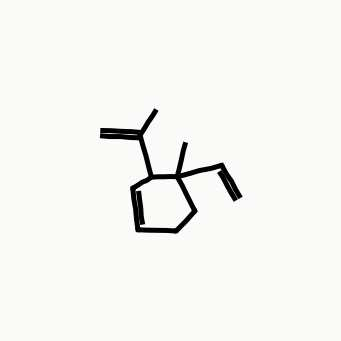 C=CC1(C)CCC=CC1C(=C)C